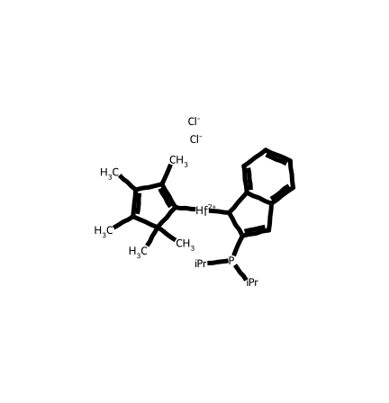 CC1=C(C)C(C)(C)[C]([Hf+2][CH]2C(P(C(C)C)C(C)C)=Cc3ccccc32)=C1C.[Cl-].[Cl-]